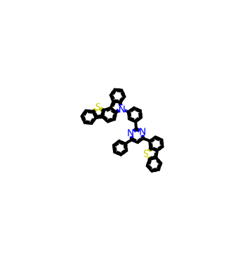 c1ccc(-c2cc(-c3cccc4c3sc3ccccc34)nc(-c3cccc(-n4c5ccccc5c5c6sc7ccccc7c6ccc54)c3)n2)cc1